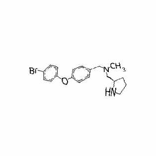 CN(Cc1ccc(Oc2ccc(Br)cc2)cc1)C[C@H]1CCCN1